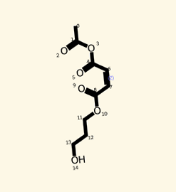 CC(=O)OC(=O)/C=C\C(=O)OCCCO